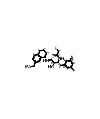 CC(C)(C)Cc1ccc2c(c1)[C@@H](NC[C@H](O)[C@H](Cc1cc(F)cc(F)c1)NC(=O)CF)CCC2